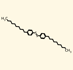 CCCCCCCCCCc1ccc(SSc2ccc(CCCCCCCCCC)cc2)cc1